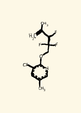 C=C(C)C(F)C(F)(F)COc1ncc(C)cc1Cl